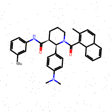 CC1=C(C(=O)N2CCC[C@H](C(=O)Nc3cccc(C(C)(C)C)c3)[C@@H]2c2ccc(N(C)C)cc2)C2C=CC=CC2C=C1